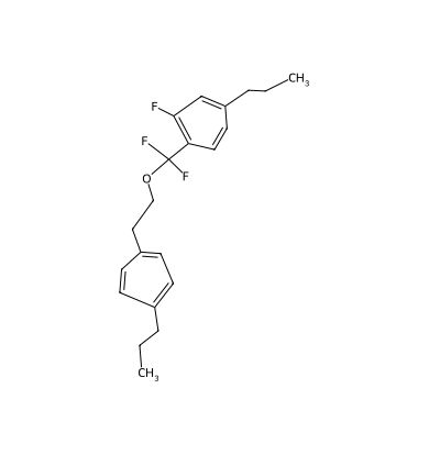 CCCc1ccc(CCOC(F)(F)c2ccc(CCC)cc2F)cc1